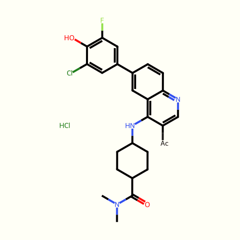 CC(=O)c1cnc2ccc(-c3cc(F)c(O)c(Cl)c3)cc2c1NC1CCC(C(=O)N(C)C)CC1.Cl